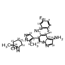 Cc1c(-c2cc(Sc3ccc(F)cc3C#N)c3c(N)cnn3c2)cnn1[C@H]1CCC(C)(C)NC1